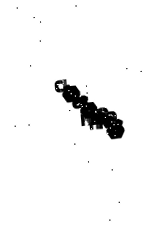 Cc1ccccc1C(=O)NC(=O)Nc1ccc(C(C)Oc2ccc(Cl)cc2)cc1